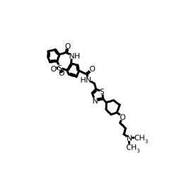 CN(C)CCCOC1CCC(c2ncc(CNC(=O)c3ccc4c(c3)NC(=O)c3ccccc3S4(=O)=O)s2)CC1